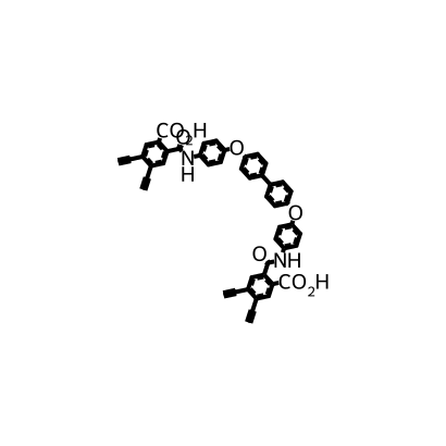 C#Cc1cc(C(=O)O)c(C(=O)Nc2ccc(Oc3ccc(-c4ccc(Oc5ccc(NC(=O)c6cc(C#C)c(C#C)cc6C(=O)O)cc5)cc4)cc3)cc2)cc1C#C